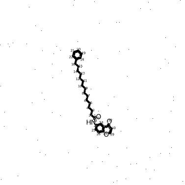 O=C(CCCCCCCCCCCCCCCc1ccccc1)Nc1ccc2o[c]cc(=O)c2c1